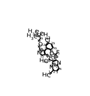 C#Cc1ccc2ncc(C(O)Nc3cnn(COCC[Si](C)(C)C)c3-c3cc(Cl)ccc3OC(F)F)n2n1